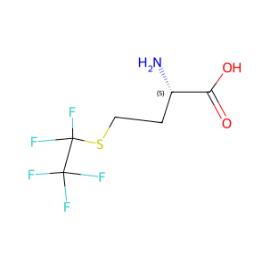 N[C@@H](CCSC(F)(F)C(F)(F)F)C(=O)O